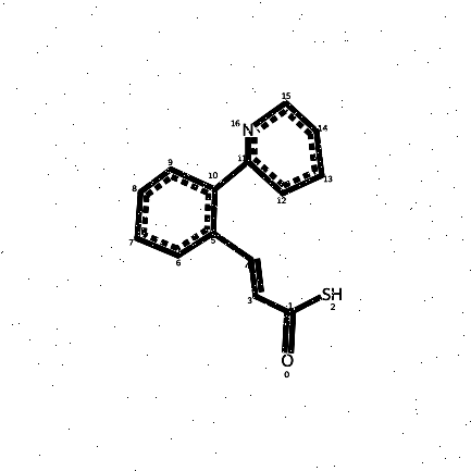 O=C(S)C=Cc1ccccc1-c1ccccn1